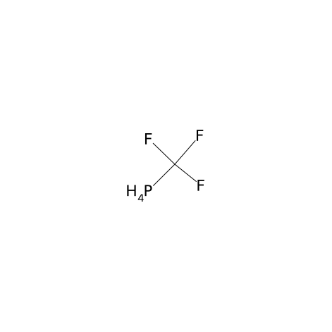 FC(F)(F)[PH4]